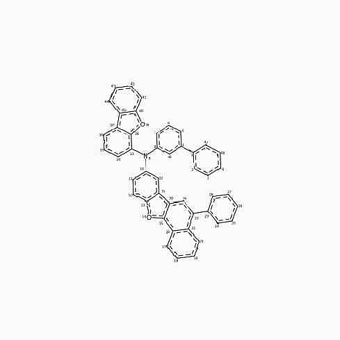 c1ccc(-c2cccc(N(c3ccc4oc5c6ccccc6c(-c6ccccc6)cc5c4c3)c3cccc4c3oc3ccccc34)c2)cc1